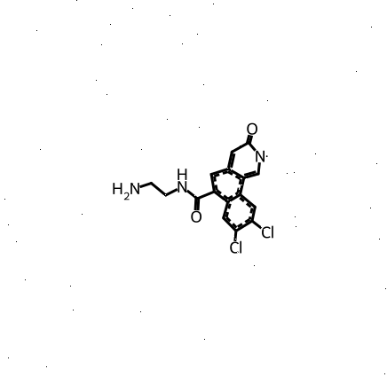 NCCNC(=O)c1cc2c(c3cc(Cl)c(Cl)cc13)=C[N]C(=O)C=2